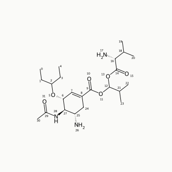 CCC(CC)O[C@@H]1C=C(C(=O)OC(OC(=O)[C@H](N)C(C)C)C(C)C)C[C@H](N)[C@H]1NC(C)=O